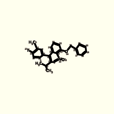 Cc1cc(-c2c(C(C)C)c[n+]([O-])c3c(OCc4ccccc4)cccc23)ccc1F